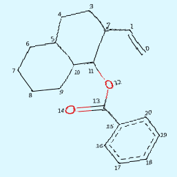 C=CC1CCC2CCCCC2C1OC(=O)c1ccccc1